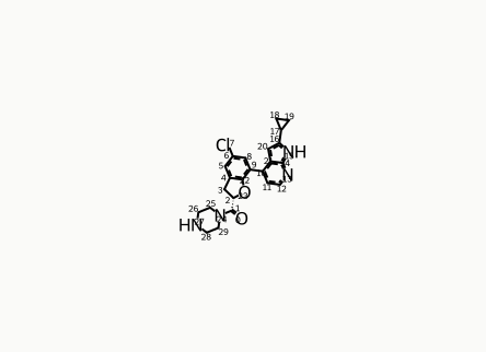 O=C([C@@H]1Cc2cc(Cl)cc(-c3ccnc4[nH]c(C5CC5)cc34)c2O1)N1CCNCC1